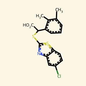 Cc1cccc(C(Sc2nc3cc(Cl)ccc3s2)C(=O)O)c1C